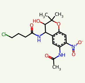 CC(=O)Nc1cc2c(cc1[N+](=O)[O-])OC(C)(C)C(O)C2NC(=O)CCCCl